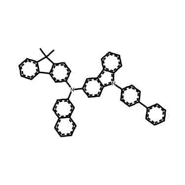 CC1(C)c2ccccc2-c2cc(N(c3ccc4ccccc4c3)c3ccc4c(c3)c3ccccc3n4-c3ccc(-c4ccccc4)cc3)ccc21